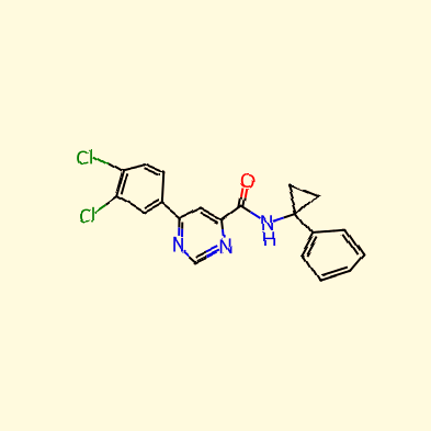 O=C(NC1(c2ccccc2)CC1)c1cc(-c2ccc(Cl)c(Cl)c2)ncn1